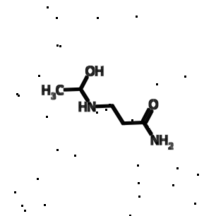 CC(O)NCCC(N)=O